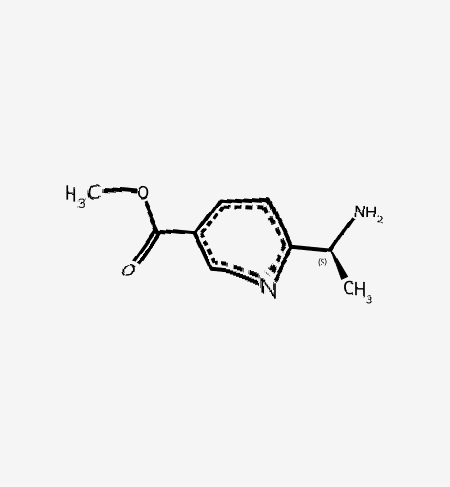 COC(=O)c1ccc([C@H](C)N)nc1